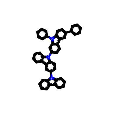 c1ccc(-c2ccc3c(c2)c2ccc(-n4c5ccccc5c5cc(-n6c7ccccc7c7ccccc76)ccc54)cc2n3-c2ccccc2)cc1